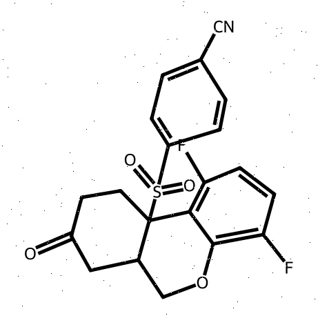 N#Cc1ccc(S(=O)(=O)C23CCC(=O)CC2COc2c(F)ccc(F)c23)cc1